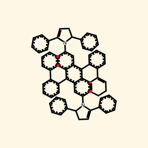 C1=CC(c2ccccc2-c2c3cc(N4C(c5ccccc5)=CCC4c4ccccc4)ccc3c(-c3ccccc3-c3ccccc3)c3cc(N4C(c5ccccc5)=CCC4c4ccccc4)ccc23)=CCC1